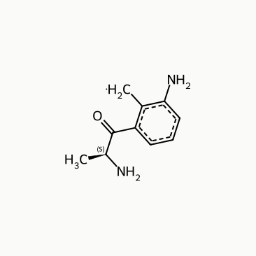 [CH2]c1c(N)cccc1C(=O)[C@H](C)N